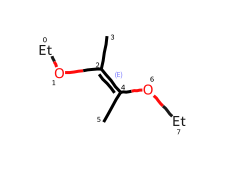 CCO/C(C)=C(\C)OCC